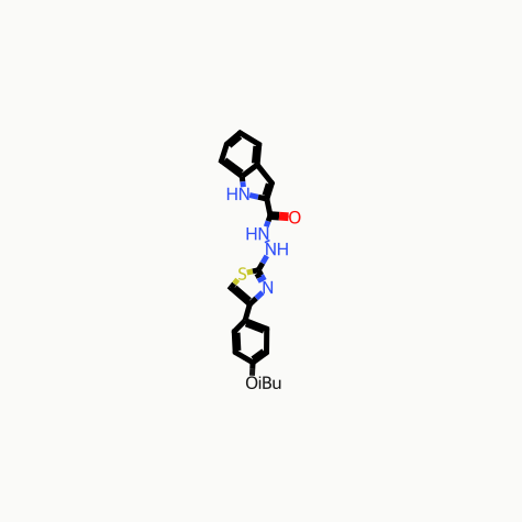 CC(C)COc1ccc(-c2csc(NNC(=O)c3cc4ccccc4[nH]3)n2)cc1